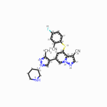 Cc1nn([C@H]2CCCNC2)cc1-c1cc(Sc2ccc(F)cc2C#N)c2c(C#N)cnn2c1